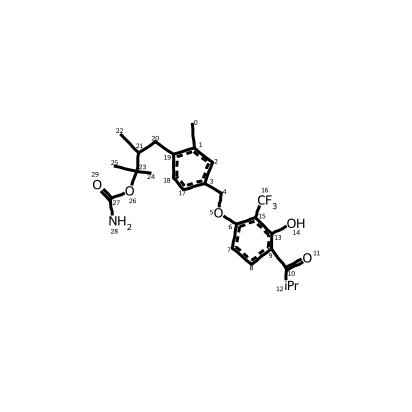 Cc1cc(COc2ccc(C(=O)C(C)C)c(O)c2C(F)(F)F)ccc1CC(C)C(C)(C)OC(N)=O